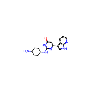 NC1CCC(Nc2nc(-c3c[nH]c4ncccc34)cc(=O)[nH]2)CC1